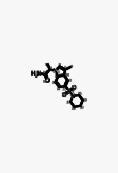 Cc1cn(C(C)C(N)=O)c2ccc(S(=O)(=O)N3CCCCC3)cc12